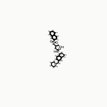 O=C(CC(CO)CS(=O)(=O)c1ccc2ccccc2c1)N[C@@H]1CCCc2cc(CN3CCCCC3)ccc21